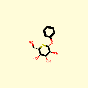 OC[C@@H]1S[C@H](Oc2ccccc2)[C@@H](O)[C@H](O)[C@H]1O